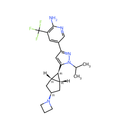 CC(C)n1nc(-c2cnc(N)c(C(F)(F)F)c2)cc1[C@H]1[C@@H]2C[C@@H](N3CCC3)C[C@@H]21